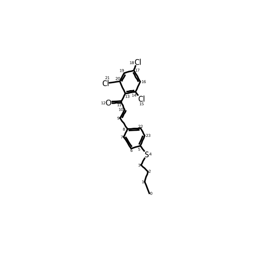 CCCCSc1ccc(C=CC(=O)c2c(Cl)cc(Cl)cc2Cl)cc1